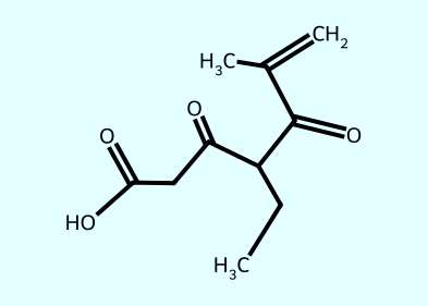 C=C(C)C(=O)C(CC)C(=O)CC(=O)O